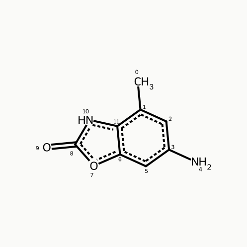 Cc1cc(N)cc2oc(=O)[nH]c12